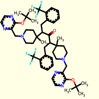 CC(C)(C)Oc1nccnc1CN1CCC(C)(C(Cc2ccccc2C(F)(F)F)C(=O)C(Cc2ccccc2C(F)(F)F)C2(C)CCN(Cc3nccnc3OC(C)(C)C)CC2)CC1